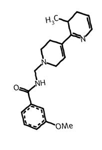 COc1cccc(C(=O)NCN2CC=C(C3=NC=CCC3C)CC2)c1